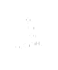 [Cu].[Cu].[Cu].[Cu].[Cu].[SiH4]